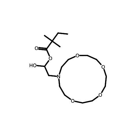 CCC(C)(C)C(=O)OC(O)CN1CCOCCOCCOCCOCC1